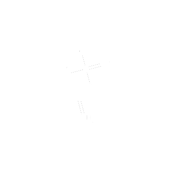 C=CSP(C)(=O)Cl